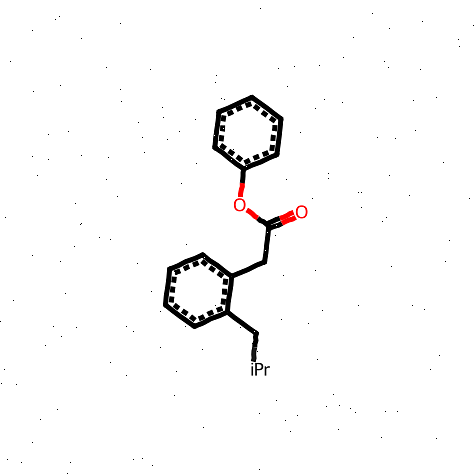 CC(C)Cc1ccccc1CC(=O)Oc1ccccc1